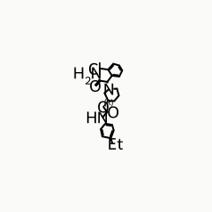 CCc1ccc(NC(=O)O[C@@H]2CCCN(C(C(N)=O)c3ccccc3Cl)C2)cc1